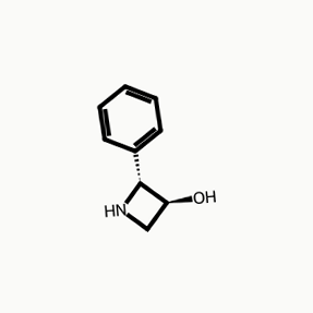 O[C@H]1CN[C@@H]1c1ccccc1